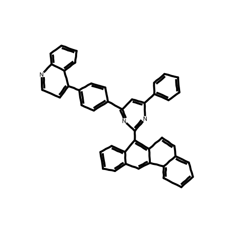 c1ccc(-c2cc(-c3ccc(-c4ccnc5ccccc45)cc3)nc(-c3c4ccccc4cc4c3ccc3ccccc34)n2)cc1